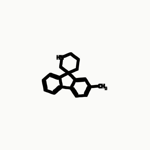 Cc1ccc2c(c1)C1(CCCNC1)c1ccccc1-2